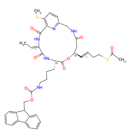 C/C=C1\NC(=O)c2nc(ccc2SC)CNC(=O)C[C@@H](/C=C/CCSC(C)=O)OC(=O)[C@H](CCCCNC(=O)OCC2c3ccccc3-c3ccccc32)NC1=O